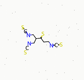 S=C=NCCC(=S)C(CN=C=S)CN=C=S